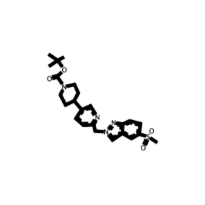 CC(C)(C)OC(=O)N1CCC(c2ccc(Cn3cc4cc(S(C)(=O)=O)ccc4n3)nc2)CC1